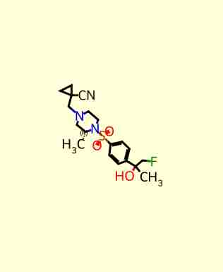 C[C@@H]1CN(CC2(C#N)CC2)CCN1S(=O)(=O)c1ccc(C(C)(O)CF)cc1